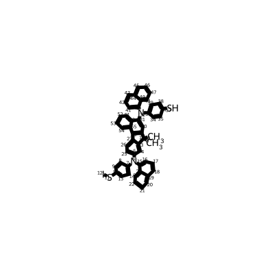 CC1(C)c2cc(N(c3ccc(SI)cc3)c3cccc4ccccc34)ccc2-c2c1cc(N(c1ccc(S)cc1)c1cccc3ccccc13)c1ccccc21